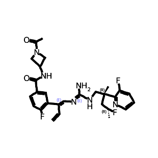 C=C/C(=C\N=C(/N)NC[C@@](C)(C[C@@H](C)F)c1ncccc1F)c1cc(C(=O)NC2CN(C(C)=O)C2)ccc1F